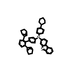 c1cc(C2CC3CCC2C3)c(-c2ccc(N(c3ccc(C4CCCCC4)cc3)c3ccc4c(c3)sc3ccccc34)cc2)c(C2CC3CCC2C3)c1